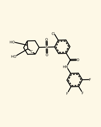 O=C(Nc1cc(F)c(F)c(F)c1)c1ccc(Cl)c(S(=O)(=O)C2CC3CCC2CC(O)C3O)c1